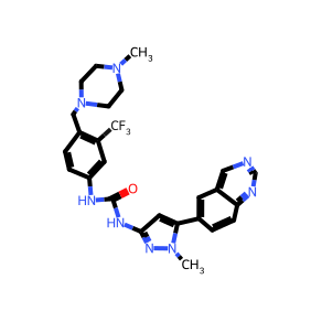 CN1CCN(Cc2ccc(NC(=O)Nc3cc(-c4ccc5ncncc5c4)n(C)n3)cc2C(F)(F)F)CC1